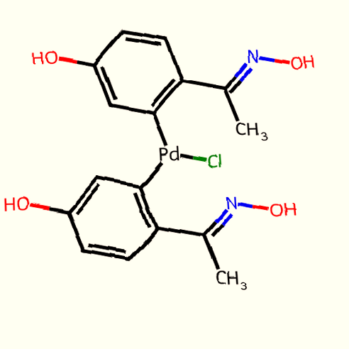 CC(=NO)c1ccc(O)c[c]1[Pd]([Cl])[c]1cc(O)ccc1C(C)=NO